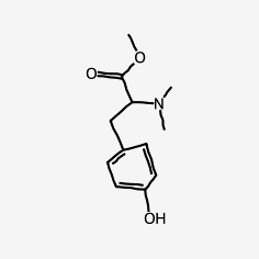 COC(=O)C(Cc1ccc(O)cc1)N(C)C